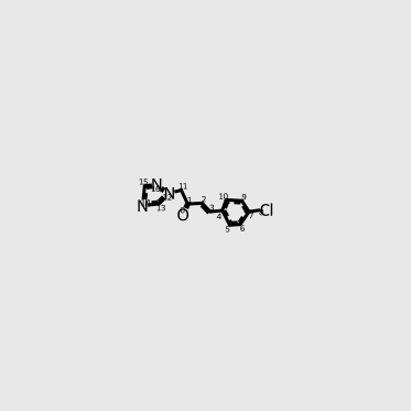 O=C(C=Cc1ccc(Cl)cc1)Cn1cncn1